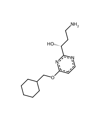 NCC[C@@H](O)c1nccc(OCC2CCCCC2)n1